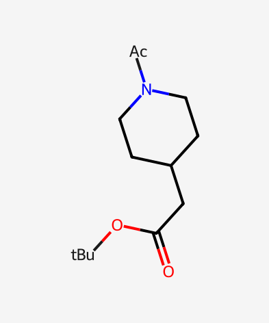 CC(=O)N1CCC(CC(=O)OC(C)(C)C)CC1